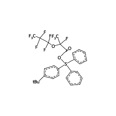 CC(C)(C)c1ccc(S(OC(=O)C(F)(OC(F)(F)C(F)(F)C(F)(F)F)C(F)(F)F)(c2ccccc2)c2ccccc2)cc1